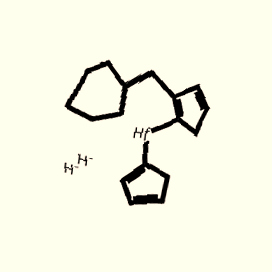 C1=CC[C]([Hf][C]2=C(CC3CCCCC3)C=CC2)=C1.[H-].[H-]